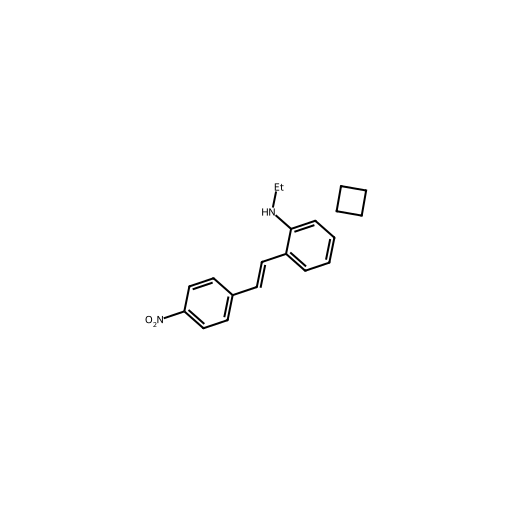 C1CCC1.CCNc1ccccc1C=Cc1ccc([N+](=O)[O-])cc1